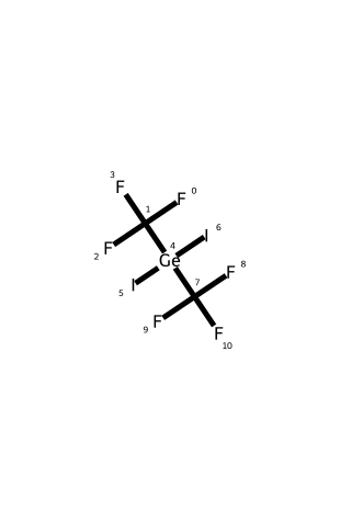 F[C](F)(F)[Ge]([I])([I])[C](F)(F)F